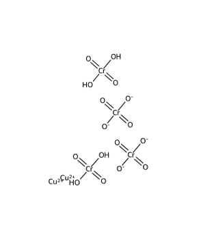 [Cu+2].[Cu+2].[O]=[Cr](=[O])([O-])[O-].[O]=[Cr](=[O])([O-])[O-].[O]=[Cr](=[O])([OH])[OH].[O]=[Cr](=[O])([OH])[OH]